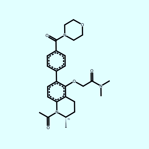 CC(=O)N1c2ccc(-c3ccc(C(=O)N4CCOCC4)cc3)c(OCC(=O)N(C)C)c2CC[C@@H]1C